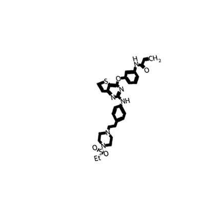 C=CC(=O)Nc1cccc(Oc2nc(Nc3ccc(CCN4CCN(S(=O)(=O)CC)CC4)cc3)nc3ccsc23)c1